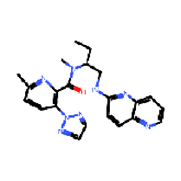 CC[C@@H](CNc1ccc2ncccc2n1)N(C)C(=O)c1nc(C)ccc1-n1nccn1